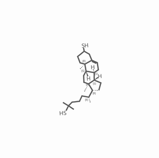 C[C@H](CCCC(C)(C)S)[C@H]1CC[C@H]2[C@@H]3CC=C4CC(S)CC[C@]4(C)[C@H]3CC[C@]12C